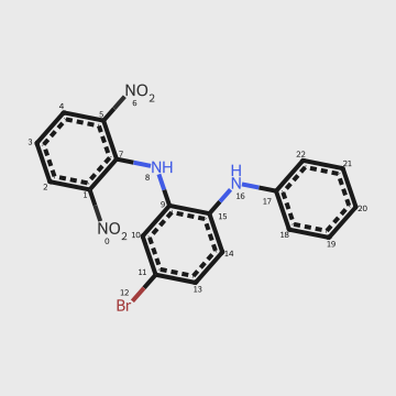 O=[N+]([O-])c1cccc([N+](=O)[O-])c1Nc1cc(Br)ccc1Nc1ccccc1